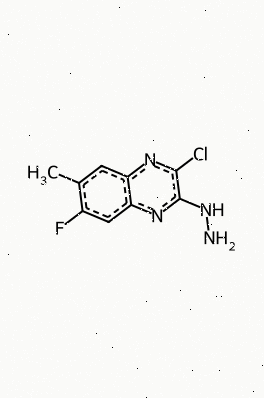 Cc1cc2nc(Cl)c(NN)nc2cc1F